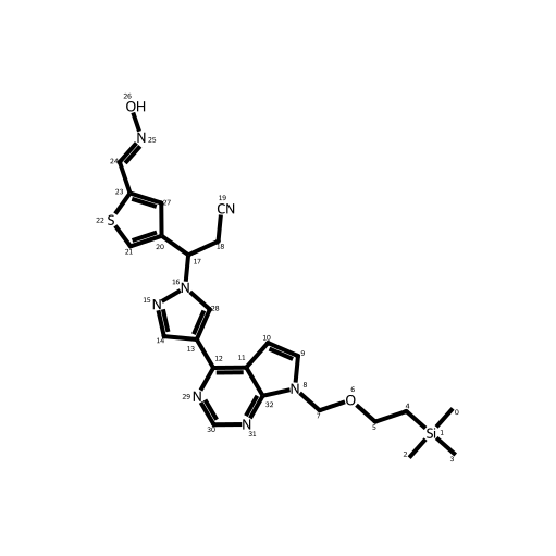 C[Si](C)(C)CCOCn1ccc2c(-c3cnn(C(CC#N)c4csc(C=NO)c4)c3)ncnc21